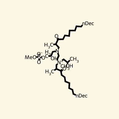 CCCCCCCCCCCCCCCCCC(=O)C(C)CN(CC[N+](C)(CC(C)O)CC(C)C(=O)CCCCCCCCCCCCCCCCC)CC(C)O.COS(=O)(=O)[O-]